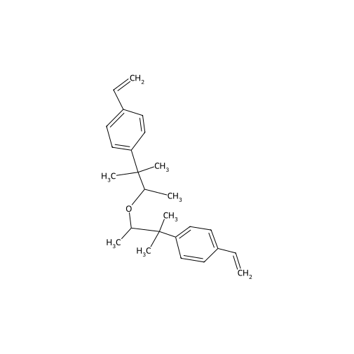 C=Cc1ccc(C(C)(C)C(C)OC(C)C(C)(C)c2ccc(C=C)cc2)cc1